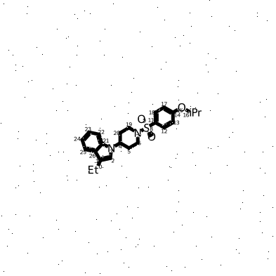 CCc1cn(C2CCN(S(=O)(=O)c3ccc(OC(C)C)cc3)CC2)c2ccccc12